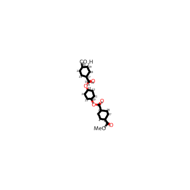 COC(=O)C1CCC(C(=O)OC2CCC(OC(=O)C3CCC(C(=O)O)CC3)CC2)CC1